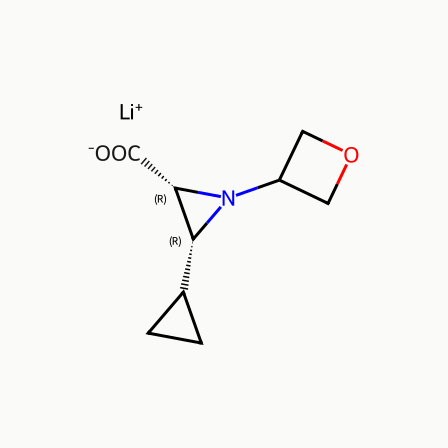 O=C([O-])[C@H]1[C@@H](C2CC2)N1C1COC1.[Li+]